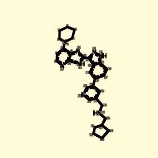 c1cc(N2CCCCC2)c2nc(-c3n[nH]c4ccc(-c5cncc(CNCC6CCCC6)c5)cc34)[nH]c2n1